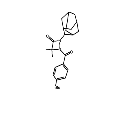 CC(C)(C)c1ccc(C(=O)N2N(C3C4CC5CC(C4)CC3C5)C(=O)C2(C)C)cc1